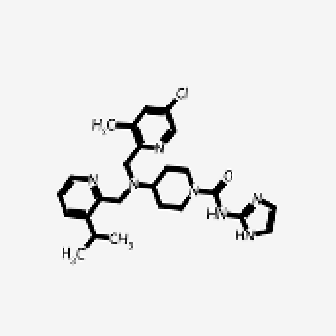 Cc1cc(Cl)cnc1CN(Cc1ncccc1C(C)C)C1CCN(C(=O)Nc2ncc[nH]2)CC1